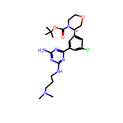 CN(C)CCCNc1nc(N)nc(-c2cc(Cl)cc([C@@H]3COCCN3C(=O)OC(C)(C)C)c2)n1